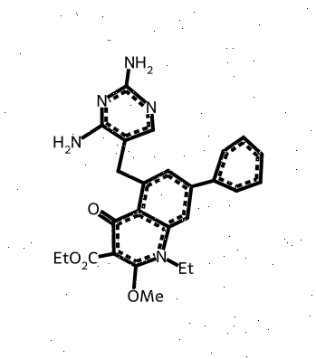 CCOC(=O)c1c(OC)n(CC)c2cc(-c3ccccc3)cc(Cc3cnc(N)nc3N)c2c1=O